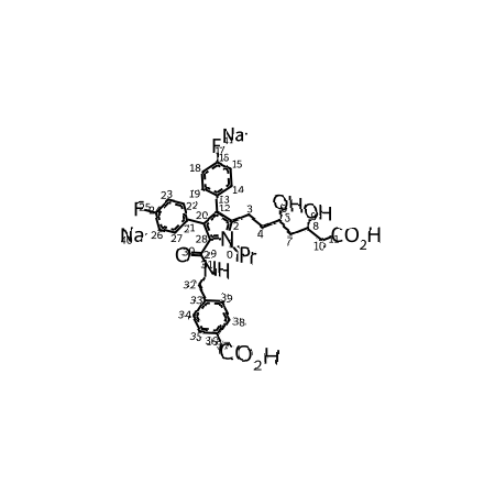 CC(C)n1c(CC[C@@H](O)C[C@@H](O)CC(=O)O)c(-c2ccc(F)cc2)c(-c2ccc(F)cc2)c1C(=O)NCc1ccc(C(=O)O)cc1.[Na].[Na]